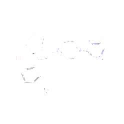 COc1cccc(C(CCN2CCN(c3cncc(Cl)n3)CC2)C2(O)CCCCC2)c1